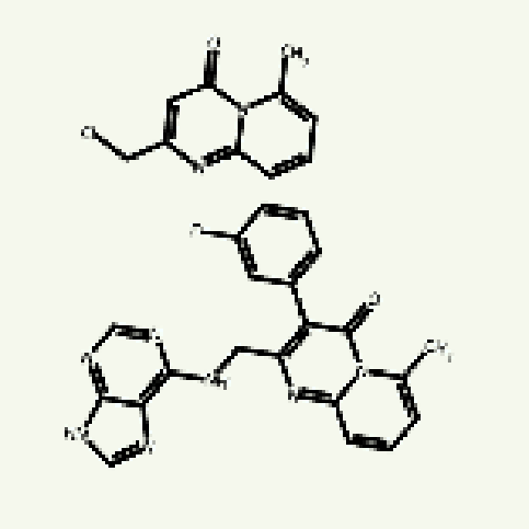 Cc1cccc2nc(CCl)cc(=O)n12.Cc1cccc2nc(CNc3ncnc4[nH]cnc34)c(-c3cccc(F)c3)c(=O)n12